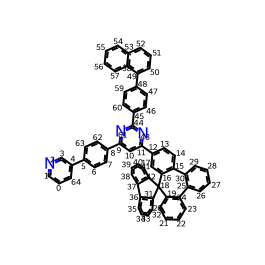 c1cncc(-c2ccc(-c3cc(-c4ccc5c(c4)C4(c6ccccc6-c6ccccc6-5)c5ccccc5-c5ccccc54)nc(-c4ccc(-c5cccc6ccccc56)cc4)n3)cc2)c1